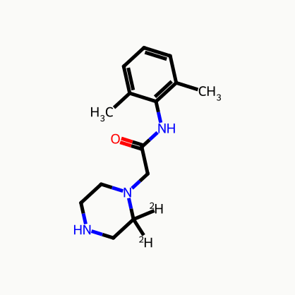 [2H]C1([2H])CNCCN1CC(=O)Nc1c(C)cccc1C